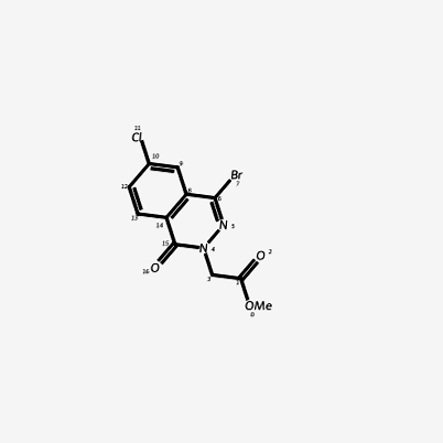 COC(=O)Cn1nc(Br)c2cc(Cl)ccc2c1=O